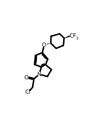 O=C(CCl)N1CCc2cc(O[C@H]3CC[C@H](C(F)(F)F)CC3)ccc21